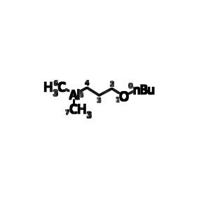 CCCCOCC[CH2][Al]([CH3])[CH3]